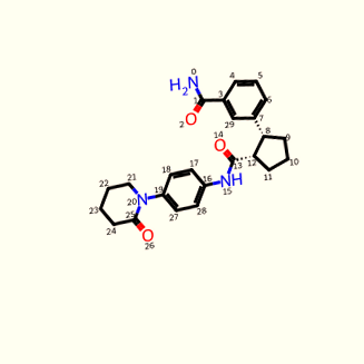 NC(=O)c1cccc([C@@H]2CCC[C@@H]2C(=O)Nc2ccc(N3CCCCC3=O)cc2)c1